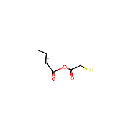 C/C=C/C(=O)OC(=O)CS